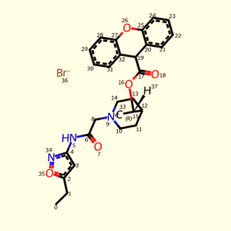 CCc1cc(NC(=O)C[N+]23CCC(CC2)[C@@H](OC(=O)C2c4ccccc4Oc4ccccc42)C3)no1.[Br-]